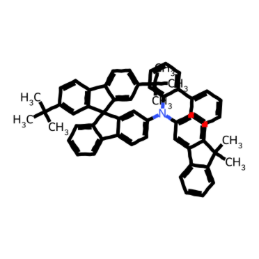 CC(C)(C)c1ccc2c(c1)C1(c3ccccc3-c3ccc(N(c4ccc5c(c4)-c4ccccc4C5(C)C)c4ccccc4-c4ccccc4)cc31)c1cc(C(C)(C)C)ccc1-2